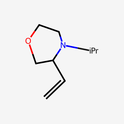 C=CC1COCCN1C(C)C